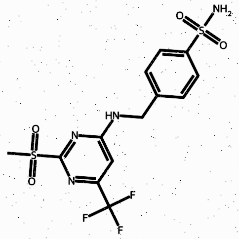 CS(=O)(=O)c1nc(NCc2ccc(S(N)(=O)=O)cc2)cc(C(F)(F)F)n1